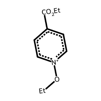 CCOC(=O)c1cc[n+](OCC)cc1